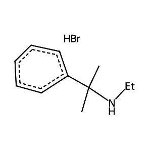 Br.CCNC(C)(C)c1ccccc1